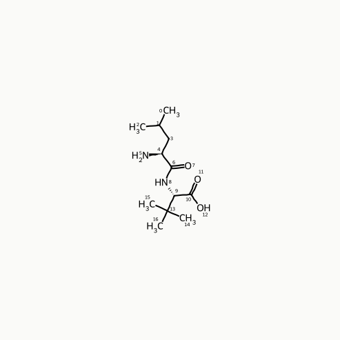 CC(C)C[C@H](N)C(=O)N[C@H](C(=O)O)C(C)(C)C